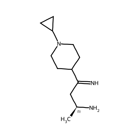 C[C@H](N)CC(=N)C1CCN(C2CC2)CC1